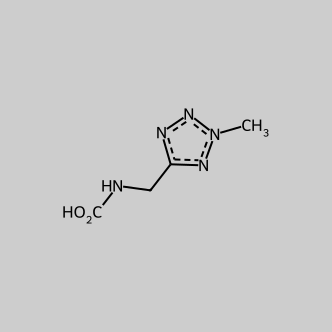 Cn1nnc(CNC(=O)O)n1